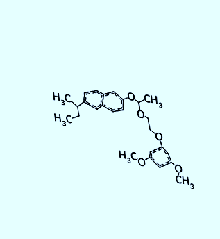 CCC(C)c1ccc2cc(OC(C)OCCOc3cc(OC)cc(OC)c3)ccc2c1